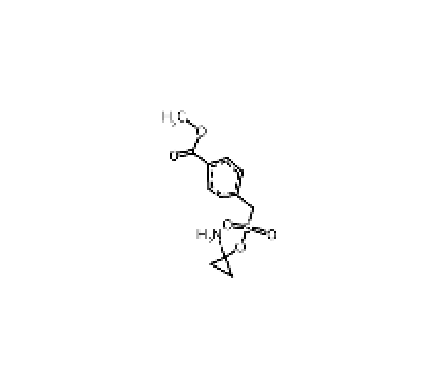 COC(=O)c1ccc(CS(=O)(=O)OC2(N)CC2)cc1